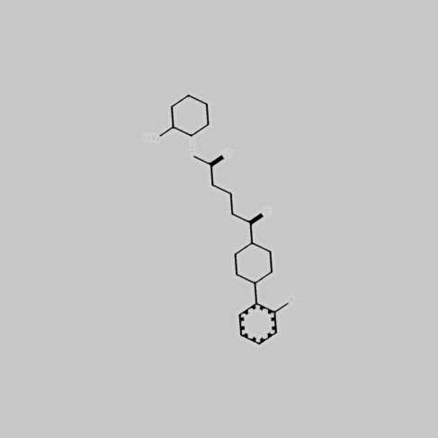 CCCCC1CCCC[C@@H]1CC(=O)CCCC(=O)C1CCC(c2ccccc2F)CC1